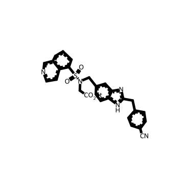 CCOC(=O)CN(Cc1ccc2[nH]c(Cc3ccc(C#N)cc3)nc2c1)S(=O)(=O)c1cccc2cnccc12